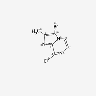 Cc1nc2c(Cl)nccn2c1Br